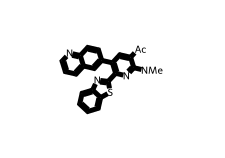 CNc1nc(-c2nc3ccccc3s2)c(-c2ccc3ncccc3c2)cc1C(C)=O